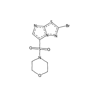 O=S(=O)(c1cnc2sc(Br)nn12)N1CCOCC1